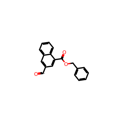 O=[C]c1cc(C(=O)OCc2ccccc2)c2ccccc2c1